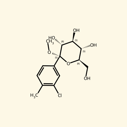 CO[C@@]1(c2ccc(C)c(Cl)c2)O[C@H](CO)[C@@H](O)[C@H](O)[C@H]1O